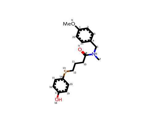 COc1ccc(CN(C)C(=O)CCCSc2ccc(O)cc2)cc1